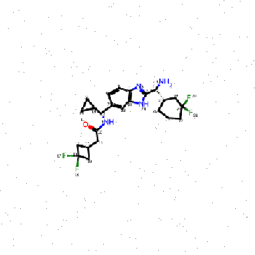 NC(c1nc2ccc([C@H](NC(=O)CC3CC(F)(F)C3)C3CC3)cc2[nH]1)[C@H]1CCCC(F)(F)C1